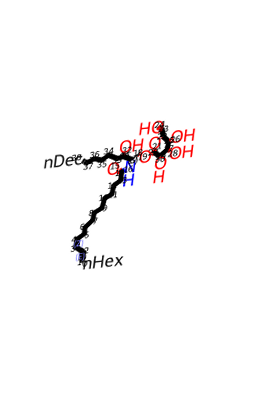 CCCCCC/C=C/C=C\CCCCCCCCCC(=O)N[C@@H](COC1OC(CO)C(O)C(O)C1O)[C@H](O)CCCCCCCCCCCCCCC